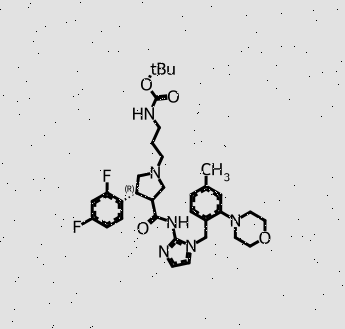 Cc1ccc(Cn2ccnc2NC(=O)C2CN(CCCNC(=O)OC(C)(C)C)C[C@H]2c2ccc(F)cc2F)c(N2CCOCC2)c1